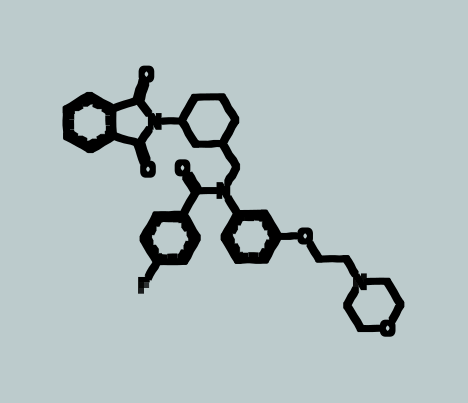 O=C(c1ccc(F)cc1)N(CC1CCCC(N2C(=O)c3ccccc3C2=O)C1)c1cccc(OCCN2CCOCC2)c1